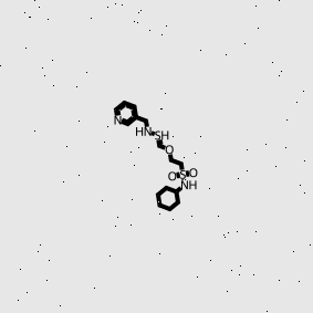 O=S(=O)(CCOC=[SH]NCc1cccnc1)NC1CCCCC1